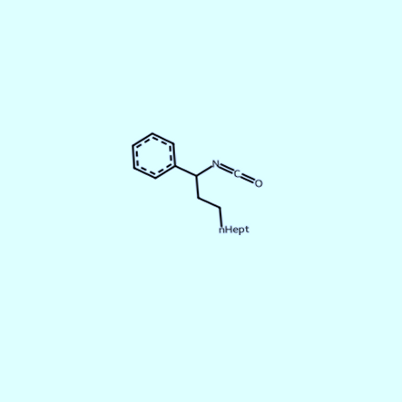 CCCCCCCCCC(N=C=O)c1ccccc1